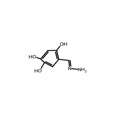 NN=Cc1cc(O)c(O)cc1O